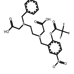 O=C(O)CN(CCN(CC(=O)O)Cc1cc([N+](=O)[O-])ccc1OC(=O)C(F)(F)F)Cc1ccccc1